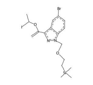 C=C(OC(C)I)c1nn(COCC[Si](C)(C)C)c2ccc(Br)cc12